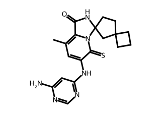 Cc1cc(Nc2cc(N)ncn2)c(=S)n2c1C(=O)NC21CCC2(CCC2)C1